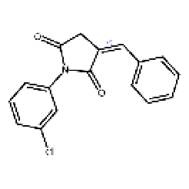 O=C1C/C(=C/c2ccccc2)C(=O)N1c1cccc(Cl)c1